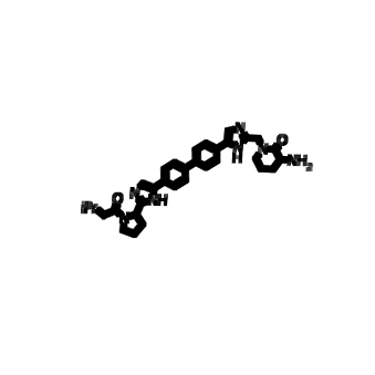 CC(C)[CH]C(=O)N1CCCC1c1ncc(-c2ccc(-c3ccc(-c4cnc(CN5CCCC(N)C5=O)[nH]4)cc3)cc2)[nH]1